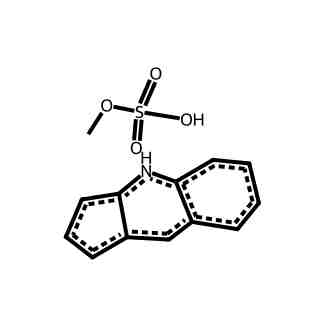 COS(=O)(=O)O.c1cc2cc3ccccc3[nH]c-2c1